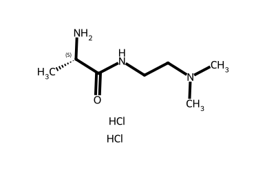 C[C@H](N)C(=O)NCCN(C)C.Cl.Cl